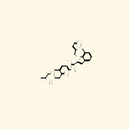 Cc1cccc2cc(-c3nc4cc5c(nc4n3C)CCN(C[C@H](N)CF)C5=O)n(Cc3ccno3)c12